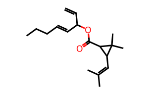 C=CC(C=CCCC)OC(=O)C1C(C=C(C)C)C1(C)C